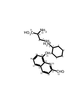 NC1CCCCC1.NCC(N)C(=O)O.O=Cc1ccc2cccc(O)c2n1